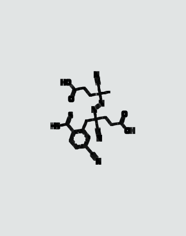 CC(C#N)(CCC(=O)O)N=NC(C#N)(CCC(=O)O)Cc1cc(C#N)ccc1C(=S)S